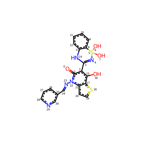 O=c1c(C2=NS(O)(O)c3ccccc3N2)c(O)c2sccc2n1/N=C/c1cccnc1